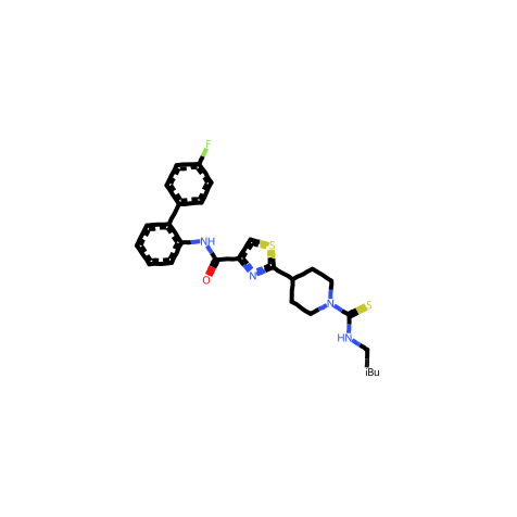 CCC(C)CNC(=S)N1CCC(c2nc(C(=O)Nc3ccccc3-c3ccc(F)cc3)cs2)CC1